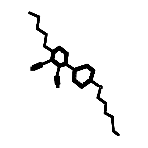 CCCCCCOc1ccc(-c2ccc(CCCCC)c(C#N)c2C#N)cc1